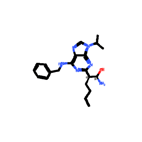 CCCC[C@@H](c1nc(NCc2ccccc2)c2ncn(C(C)C)c2n1)[C@H](N)O